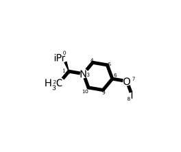 CC(C)[C@H](C)N1CCC(OI)CC1